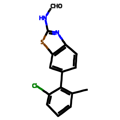 Cc1cccc(Cl)c1-c1ccc2nc(NC=O)sc2c1